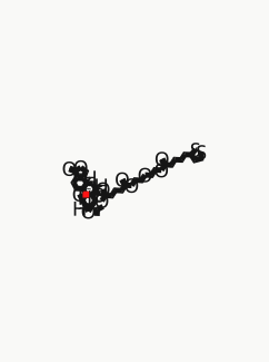 CC(C)[C@]12O[C@H]1[C@@H]1O[C@]13[C@]1(O[C@H]1C[C@H]1C4=C(CC[C@@]13C)C(=O)OC4)[C@@H]2OC(=O)CCCC(=O)OCCOCCOC(=O)CCCCC1CCSS1